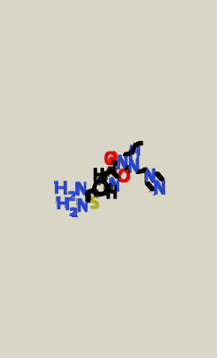 CCCCN(C(=O)NCCN1CCN(C)CC1)C(=O)[C@@H]1C[C@@H]2Cc3c(sc(N)c3N)C[C@H]2N(C)C1